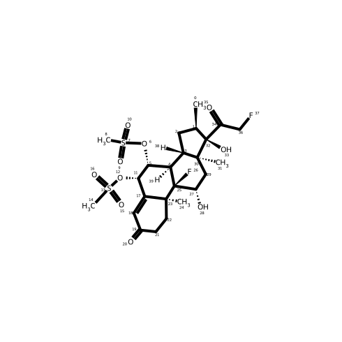 C[C@@H]1C[C@H]2[C@@H]3[C@@H](OS(C)(=O)=O)[C@@H](OS(C)(=O)=O)C4=CC(=O)CC[C@]4(C)[C@@]3(F)[C@@H](O)C[C@]2(C)[C@@]1(O)C(=O)CF